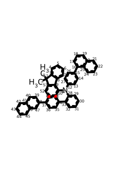 CC1(C)c2ccccc2-c2c(N(c3ccc(-c4cccc5ccccc45)cc3)c3ccccc3-c3ccc(-c4ccc5ccccc5c4)cc3)cccc21